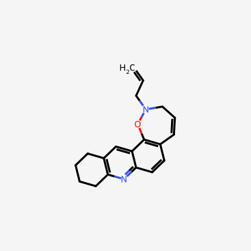 C=CCN1CC=Cc2ccc3nc4c(cc3c2O1)CCCC4